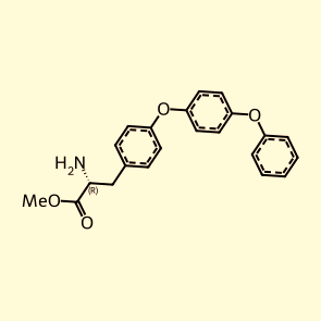 COC(=O)[C@H](N)Cc1ccc(Oc2ccc(Oc3ccccc3)cc2)cc1